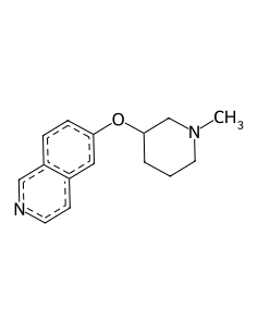 CN1CCCC(Oc2ccc3cnccc3c2)C1